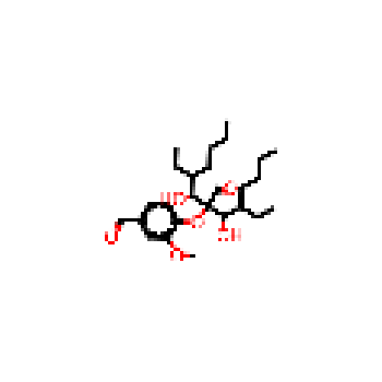 CCCCC(CC)C(O)C([C]=O)(Oc1ccc(C=O)cc1OC)C(O)C(CC)CCCC